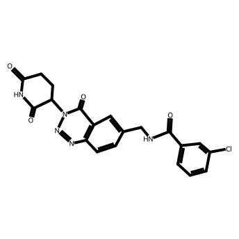 O=C1CCC(n2nnc3ccc(CNC(=O)c4cccc(Cl)c4)cc3c2=O)C(=O)N1